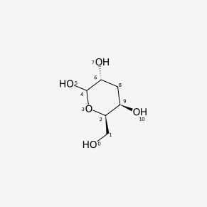 OC[C@H]1OC(O)[C@H](O)C[C@H]1O